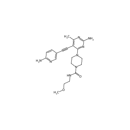 COCCNC(=O)N1CCN(c2nc(N)nc(C)c2C#Cc2ccc(N)nc2)CC1